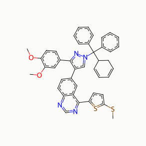 COc1ccc(-c2nn(C(c3ccccc3)(c3ccccc3)C3C=CC=CC3)cc2-c2ccc3ncnc(-c4ccc(SC)s4)c3c2)cc1OC